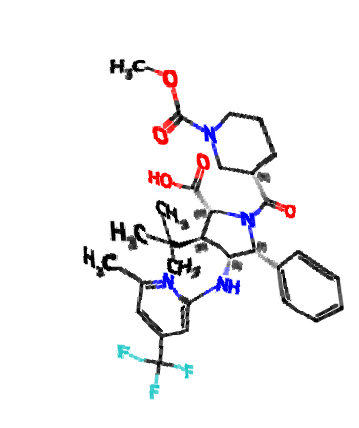 COC(=O)N1CCC[C@H](C(=O)N2[C@H](c3ccccc3)[C@H](Nc3cc(C(F)(F)F)cc(C)n3)[C@@H](C(C)(C)C)[C@@H]2C(=O)O)C1